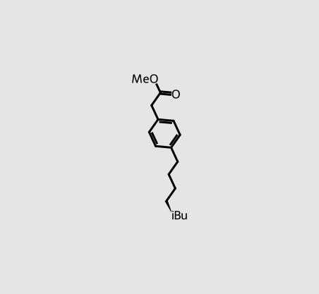 CC[C@H](C)CCCCc1ccc(CC(=O)OC)cc1